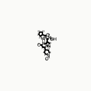 O=CN1CCC(c2cc(=O)[nH]c3c(/C(=N\O)NC(=O)C4CCCC4)cnn23)CC1